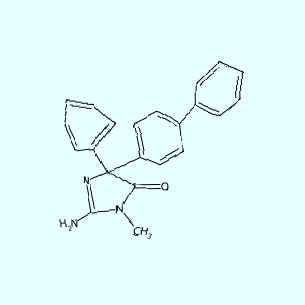 CN1C(=O)C(c2ccccc2)(c2ccc(-c3ccccc3)cc2)N=C1N